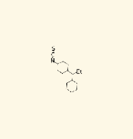 CCC(C1CCCCC1)C1CCC(N=C=S)CC1